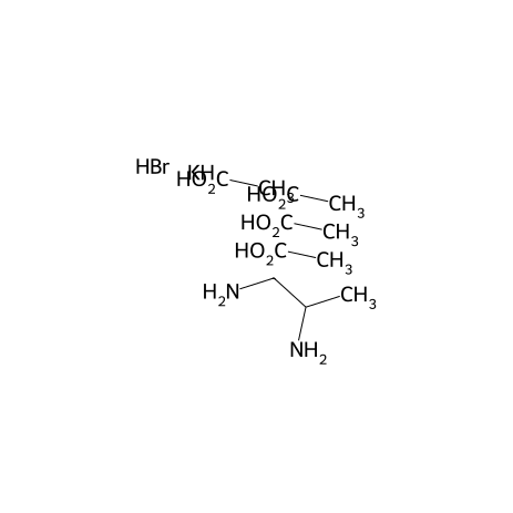 Br.CC(=O)O.CC(=O)O.CC(=O)O.CC(=O)O.CC(N)CN.[KH]